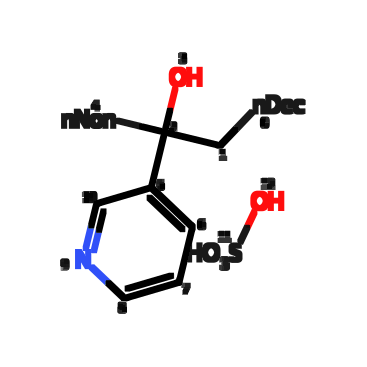 CCCCCCCCCCCC(O)(CCCCCCCCC)c1cccnc1.O=S(=O)(O)O